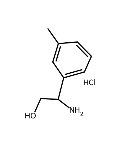 Cc1cccc(C(N)CO)c1.Cl